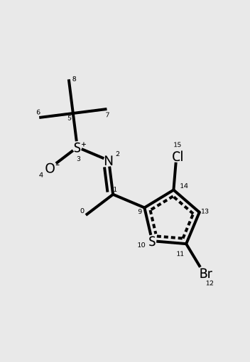 C/C(=N\[S+]([O-])C(C)(C)C)c1sc(Br)cc1Cl